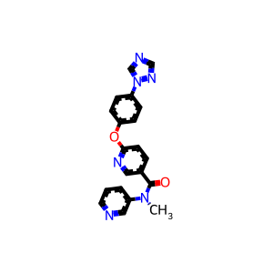 CN(C(=O)c1ccc(Oc2ccc(-n3cncn3)cc2)nc1)c1cccnc1